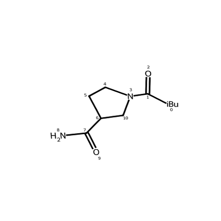 CCC(C)C(=O)N1CCC(C(N)=O)C1